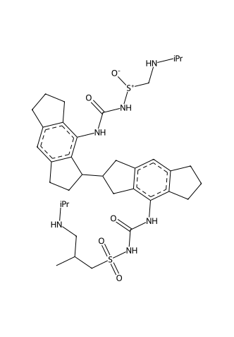 CC(CNC(C)C)CS(=O)(=O)NC(=O)Nc1c2c(cc3c1CC(C1CCc4cc5c(c(NC(=O)N[S+]([O-])CNC(C)C)c41)CCC5)C3)CCC2